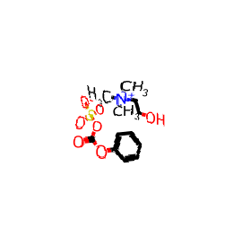 C[N+](C)(C)CCO.O=C(Oc1ccccc1)OS(=O)(=O)[O-]